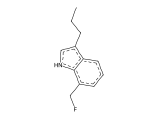 CCCc1c[nH]c2c(CF)cccc12